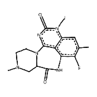 Cc1cc2c3c(nc(=O)n2I)N2CCN(C)CC2C(=O)Nc3c1F